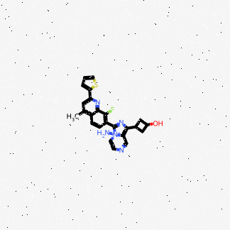 Cc1cc(-c2cccs2)nc2c(F)c(C3=NC(C4CC(O)C4)=C4C=NC=C[N+]34N)ccc12